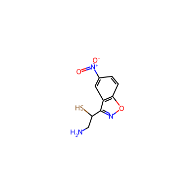 NCC(S)c1noc2ccc([N+](=O)[O-])cc12